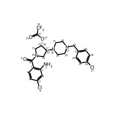 Nc1cc(Cl)ccc1C(=O)N1C[C@H](OC(=O)C(F)(F)F)[C@@H](N2CCN(Cc3ccc(Cl)cc3)CC2)C1